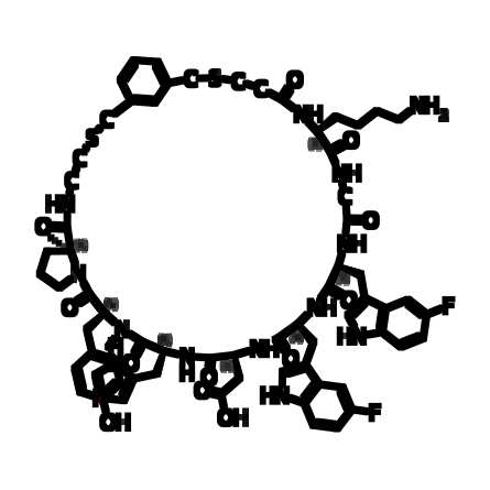 CN1C(=O)[C@H](Cc2cnc[nH]2)NC(=O)[C@H](CC(=O)O)NC(=O)[C@H](Cc2c[nH]c3ccc(F)cc23)NC(=O)[C@H](Cc2c[nH]c3ccc(F)cc23)NC(=O)CNC(=O)[C@H](CCCCN)NC(=O)CCSCc2cccc(c2)CSCCNC(=O)[C@]2(C)CCCN2C(=O)[C@@H]1Cc1ccc(O)cc1